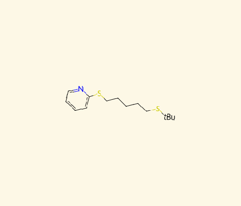 CC(C)(C)SCCCCCSc1ccccn1